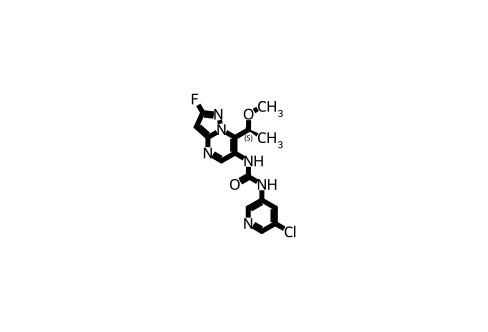 CO[C@@H](C)c1c(NC(=O)Nc2cncc(Cl)c2)cnc2cc(F)nn12